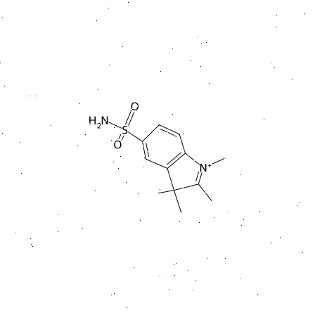 CC1=[N+](C)c2ccc(S(N)(=O)=O)cc2C1(C)C